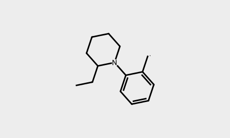 [CH2]c1ccccc1N1CCCCC1CC